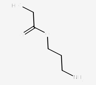 CCC(=O)OCCCN